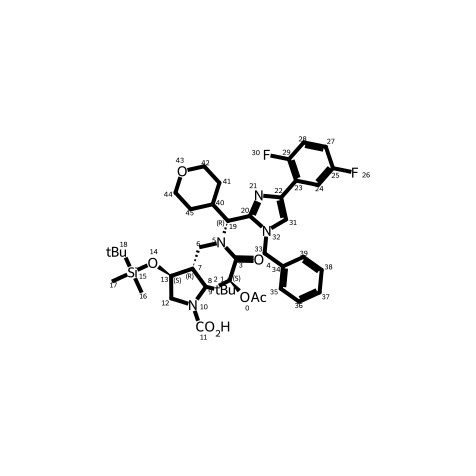 CC(=O)O[C@@H](C)C(=O)N(C[C@@H]1C(C(C)(C)C)N(C(=O)O)C[C@H]1O[Si](C)(C)C(C)(C)C)[C@@H](c1nc(-c2cc(F)ccc2F)cn1Cc1ccccc1)C1CCOCC1